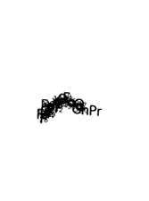 CCCC1COC(C2CCC(C(F)(F)Oc3ccc(-c4cc(F)c(OC(F)=C(F)F)c(F)c4)c(F)c3)CC2)OC1